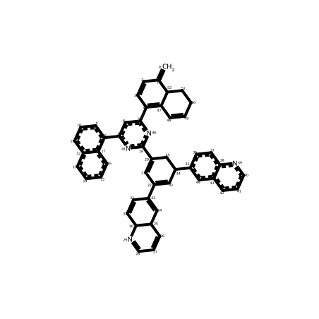 C=C1C=CC(c2cc(-c3cccc4ccccc34)nc(C3=CC(C4=CC5C=CC=NC5C=C4)=CC(c4ccc5ncccc5c4)C3)n2)=C2C=CCCC12